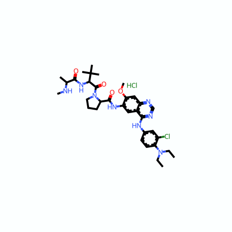 CCN(CC)c1ccc(Nc2ncnc3cc(OC)c(NC(=O)C4CCCN4C(=O)C(NC(=O)C(C)NC)C(C)(C)C)cc23)cc1Cl.Cl